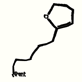 CCCCCCCCCC1=CCCO1